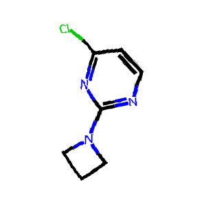 Clc1ccnc(N2CCC2)n1